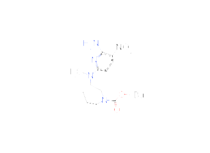 CN(c1ccc([N+](=O)[O-])c(N)n1)C1CCCN(C(=O)OC(C)(C)C)C1